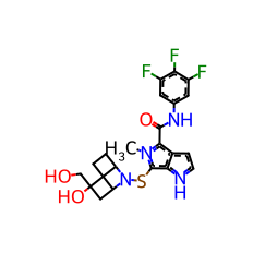 Cn1c(C(=O)Nc2cc(F)c(F)c(F)c2)c2cc[nH]c2c1SN1C2CCC23C1CC3(O)CO